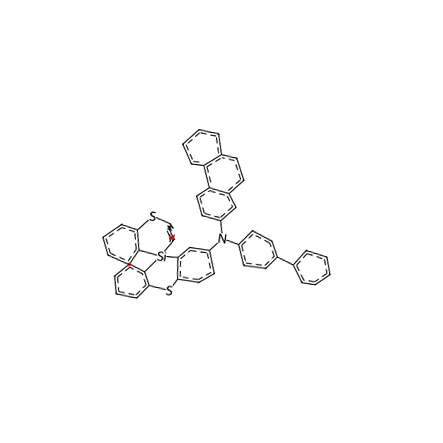 c1ccc(-c2ccc(N(c3ccc4c(c3)[Si]3(c5ccccc5Sc5ccccc53)c3ccccc3S4)c3ccc4c(ccc5ccccc54)c3)cc2)cc1